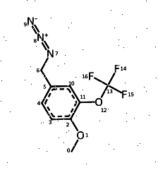 COc1ccc(CN=[N+]=[N-])cc1OC(F)(F)F